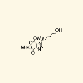 COC(=O)c1nnn(CCCCCCO)c1C(=O)OC